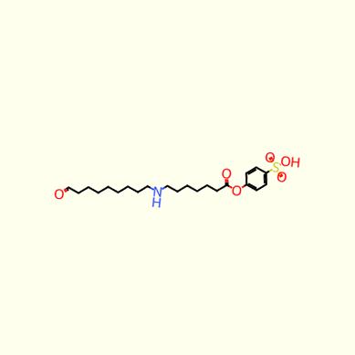 O=CCCCCCCCCNCCCCCCC(=O)Oc1ccc(S(=O)(=O)O)cc1